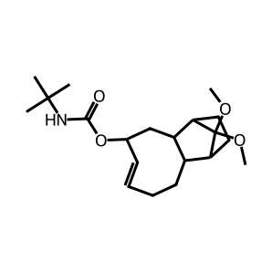 COC1(OC)C2CCC1C1CC(OC(=O)NC(C)(C)C)/C=C/CCC12